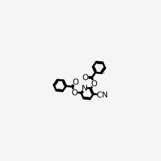 N#Cc1ccc(OC(=O)c2ccccc2)nc1OC(=O)c1[c]cccc1